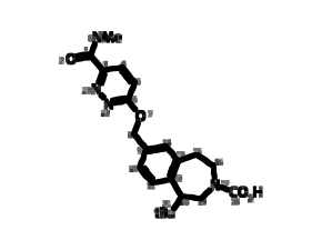 CNC(=O)c1ccc(OCc2ccc3c(c2)CCN(C(=O)O)CC3C(C)(C)C)nn1